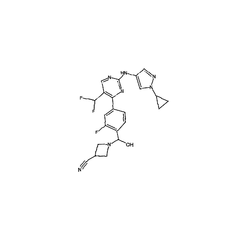 N#CC1CN(C(O)c2ccc(-c3nc(Nc4cnn(C5CC5)c4)ncc3C(F)F)cc2F)C1